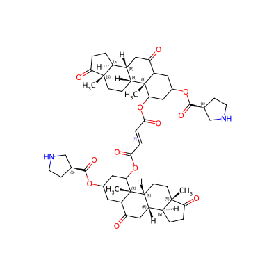 C[C@]12C(OC(=O)/C=C/C(=O)OC3CC(OC(=O)[C@H]4CCNC4)CC4C(=O)C[C@@H]5[C@@H](CC[C@]6(C)C(=O)CC[C@@H]56)[C@@]34C)CC(OC(=O)[C@H]3CCNC3)CC1C(=O)C[C@@H]1[C@H]2CC[C@]2(C)C(=O)CC[C@@H]12